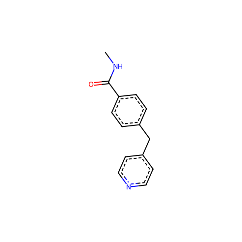 CNC(=O)c1ccc(Cc2ccncc2)cc1